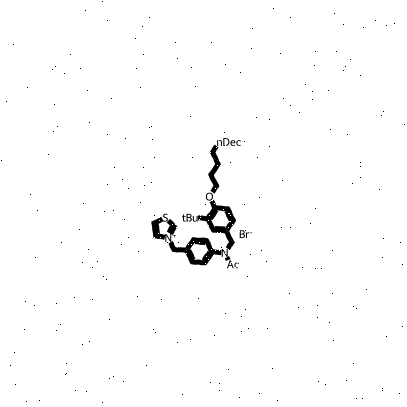 CCCCCCCCCCCCCCOc1ccc(CN(C(C)=O)c2ccc(C[n+]3ccsc3)cc2)cc1C(C)(C)C.[Br-]